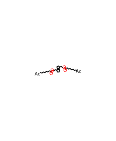 CC(=O)CCCCCCCC(=O)OCCC1=C2C3CCC(CCOC(=O)CCCCCCCC(C)=O)(C3)C2CC1